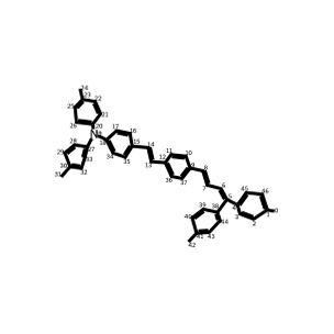 Cc1ccc(C(=C/C=C/c2ccc(/C=C/c3ccc(N(c4ccc(C)cc4)c4ccc(C)cc4)cc3)cc2)c2ccc(C)cc2)cc1